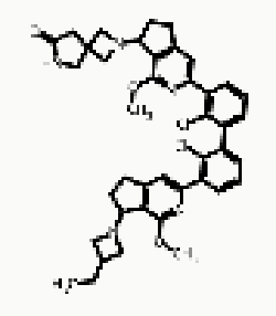 CCC1CN(C2CCc3cc(-c4cccc(-c5cccc(-c6cc7c(c(OC)n6)C(N6CC8(CNC(=O)C8)C6)CC7)c5Cl)c4Cl)nc(OC)c32)C1